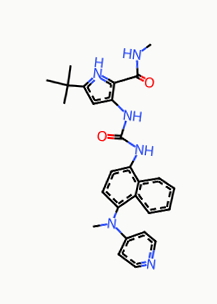 CNC(=O)c1[nH]c(C(C)(C)C)cc1NC(=O)Nc1ccc(N(C)c2ccncc2)c2ccccc12